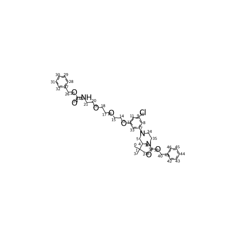 CC(C)(C)C1CN(c2cc(Cl)cc(OCCOCCOCCNC(=O)OCc3ccccc3)c2)CCN1C(=O)OCc1ccccc1